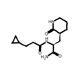 NC(=O)[C@H](C[C@@H]1CCCNC1=O)NC(=O)[CH]CC1CC1